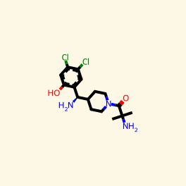 CC(C)(N)C(=O)N1CCC([C@@H](N)c2cc(Cl)c(Cl)cc2O)CC1